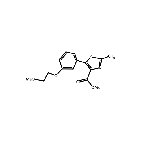 COCCOc1cccc(-c2sc(C)nc2C(=O)OC)c1